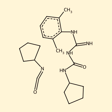 Cc1cccc(C)c1NC(=N)NC(=O)NC1CCCC1.O=C=NC1CCCC1